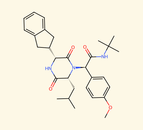 COc1ccc([C@H](C(=O)NC(C)(C)C)N2C(=O)[C@@H](C3Cc4ccccc4C3)NC(=O)[C@H]2CC(C)C)cc1